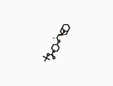 C[C@H](/C=C/B1C2CCCC1CCC2)OC1CCN(C(=O)OC(C)(C)C)CC1